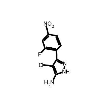 Nc1[nH]nc(-c2ccc([N+](=O)[O-])cc2F)c1Cl